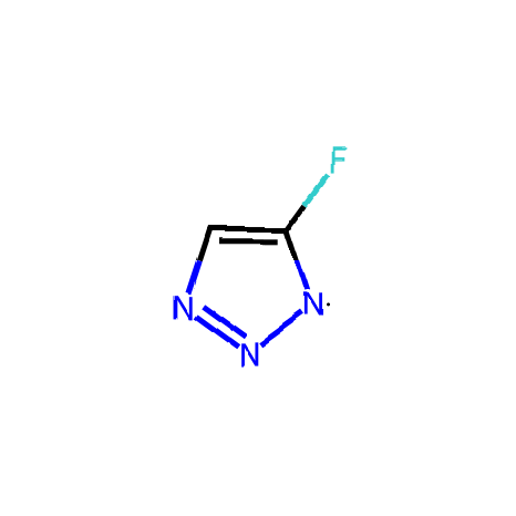 FC1=CN=N[N]1